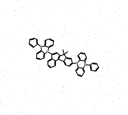 CC1(C)c2cc(N3c4ccccc4N(c4ccccc4)c4ccccc43)ccc2-c2c1cc(N1c3ccccc3N(c3ccccc3)c3ccccc31)c1ccccc21